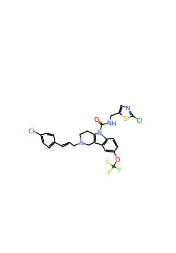 O=C(NCc1cnc(Cl)s1)n1c2c(c3cc(OC(F)(F)F)ccc31)CN(CC=Cc1ccc(Cl)cc1)CC2